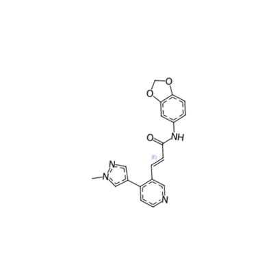 Cn1cc(-c2ccncc2/C=C/C(=O)Nc2ccc3c(c2)OCO3)cn1